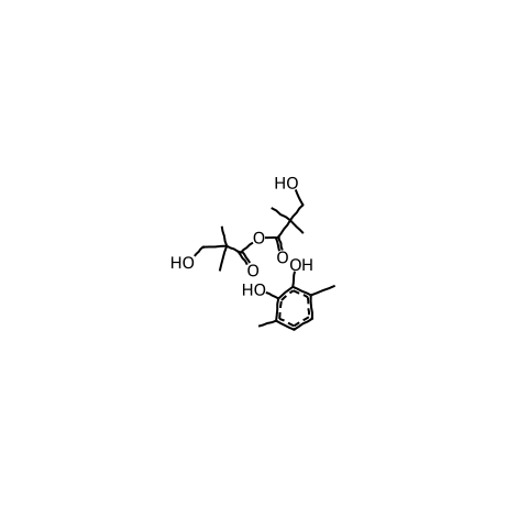 CC(C)(CO)C(=O)OC(=O)C(C)(C)CO.Cc1ccc(C)c(O)c1O